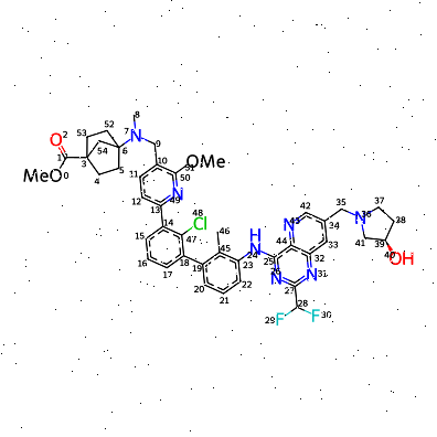 COC(=O)C12CCC(N(C)Cc3ccc(-c4cccc(-c5cccc(Nc6nc(C(F)F)nc7cc(CN8CC[C@@H](O)C8)cnc67)c5C)c4Cl)nc3OC)(CC1)C2